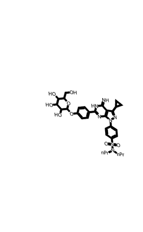 CCCN(CCC)S(=O)(=O)c1ccc(-n2nc(C3CC3)c3c(=N)[nH]c(-c4ccc(OC5OC(CO)C(O)C(O)C5O)cc4)nc32)cc1